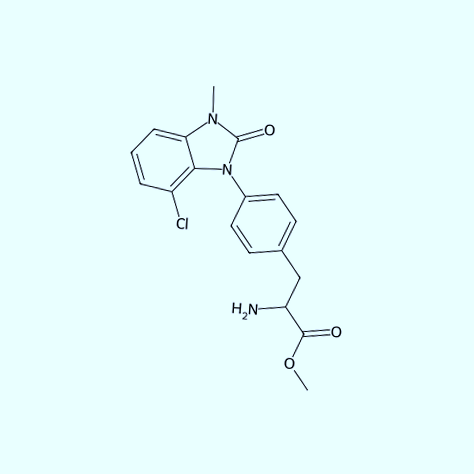 COC(=O)C(N)Cc1ccc(-n2c(=O)n(C)c3cccc(Cl)c32)cc1